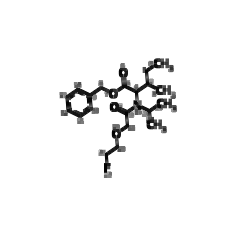 CCC(C)C(C(=O)OCc1ccccc1)N(C(=O)COCCF)C(C)C